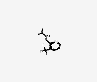 CC(C)NCc1ncccc1C(F)(F)F